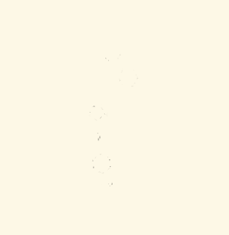 COc1ccc(C#Cc2csc(COc3ccc(F)c(C(N)=O)c3F)n2)cc1